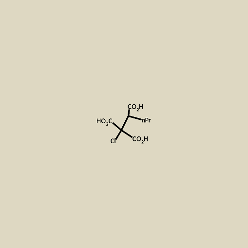 CCCC(C(=O)O)C(Cl)(C(=O)O)C(=O)O